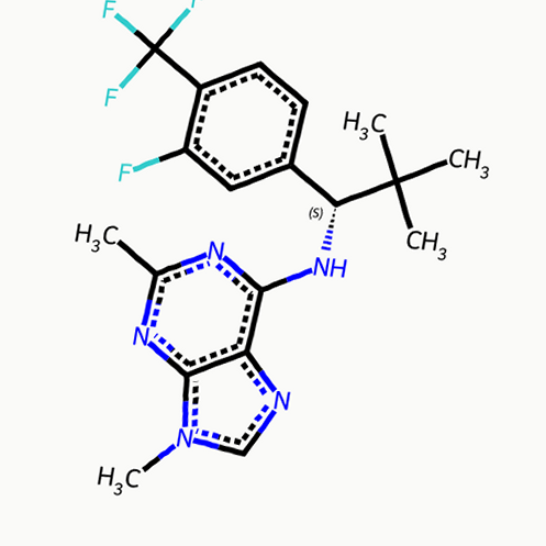 Cc1nc(N[C@H](c2ccc(C(F)(F)F)c(F)c2)C(C)(C)C)c2ncn(C)c2n1